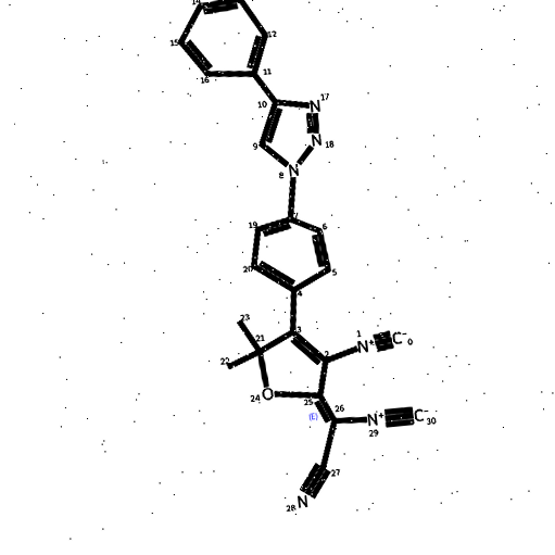 [C-]#[N+]C1=C(c2ccc(-n3cc(-c4ccccc4)nn3)cc2)C(C)(C)O/C1=C(\C#N)[N+]#[C-]